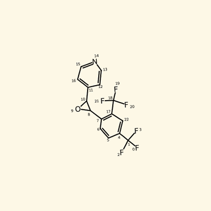 FC(F)(F)c1ccc(C2OC2c2ccncc2)c(C(F)(F)F)c1